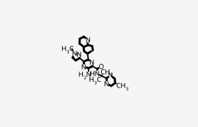 Cc1cnc(C(C)(C)NC(=O)c2nc(-c3ccc4ncccc4c3)c(-c3ccn(C)n3)nc2N)nc1